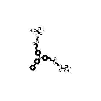 C=C(C)C(=O)OCCOC(=O)CCc1ccc(N(c2ccc(CCC(=O)OCCOC(=O)C(=C)C)cc2)c2ccc(-c3ccccc3)cc2)cc1